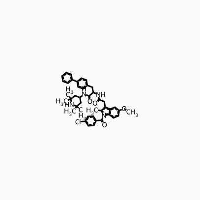 COc1ccc2c(c1)c(CC(=O)NC(Cc1ccc(-c3ccccc3)cc1)C(=O)NC1CC(C)(C)NC(C)(C)C1)c(C)n2C(=O)c1ccc(Cl)cc1